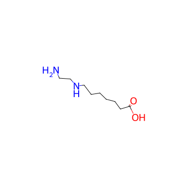 NCCNCCCCCCC(=O)O